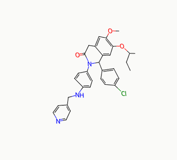 CCC(C)Oc1cc2c(cc1OC)CC(=O)N(c1ccc(NCc3ccncc3)cc1)C2c1ccc(Cl)cc1